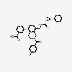 O=C(O)c1cccc(-c2ccc(CNC(=O)[C@@H]3C[C@@H]3c3ccccc3)c3c2CCN(C(=O)c2ccc(F)cc2)C3)c1